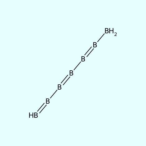 B=B/B=B\B=B/B